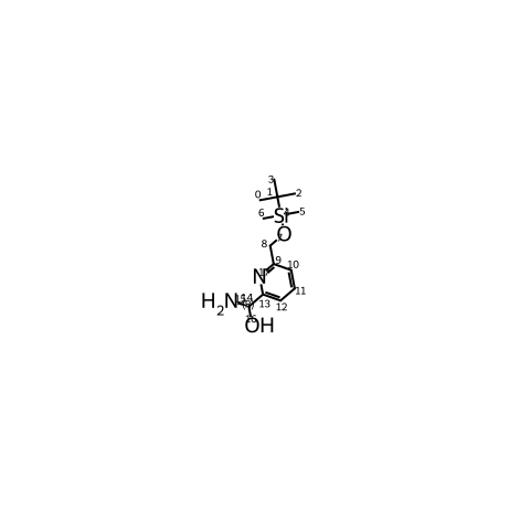 CC(C)(C)[Si](C)(C)OCc1cccc([C@H](N)O)n1